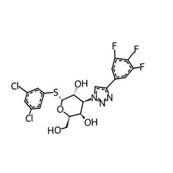 OC[C@H]1O[C@H](Sc2cc(Cl)cc(Cl)c2)[C@H](O)[C@@H](n2cc(-c3cc(F)c(F)c(F)c3)nn2)[C@H]1O